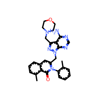 Cc1ccccc1-n1c(Cn2nc(CN3CCOCC3)c3c(N)ncnc32)cc2cccc(C)c2c1=O